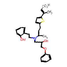 C/C(=C\C(=O)O)c1ccc(CCC(C)N(CCc2ccccc2O)CC(O)COc2ccccc2)s1